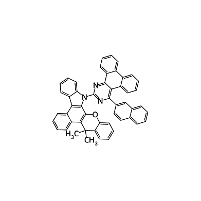 CC1(C)c2ccccc2Oc2c1c1ccccc1c1c3ccccc3n(-c3nc(-c4ccc5ccccc5c4)c4c5ccccc5c5ccccc5c4n3)c21